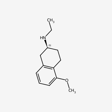 CCN[C@H]1CCc2c(cccc2OC)C1